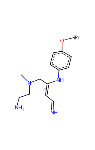 CC(C)Oc1ccc(N/C(=C\C=N)CN(C)CCN)cc1